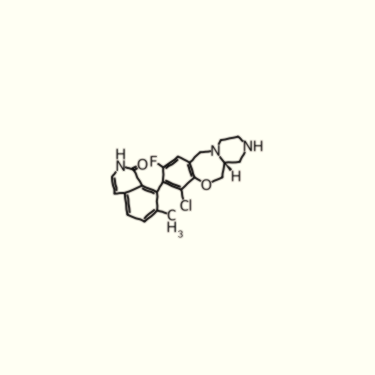 Cc1ccc2cc[nH]c(=O)c2c1-c1c(F)cc2c(c1Cl)OC[C@H]1CNCCN1C2